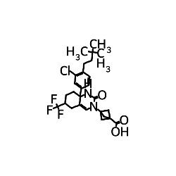 CC(C)(C)CCc1ccc(C23CCC(C(F)(F)F)CC2=CN(C24CC(C(=O)O)(C2)C4)C(=O)N3)cc1Cl